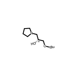 CC(C)(C)OC[C@H](O)CN1CCCC1